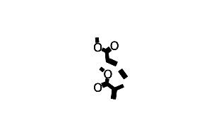 C=C.C=C(C)C(=O)OC.C=CC(=O)OC